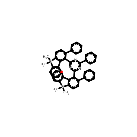 C[Si]1(C)c2ccccc2-c2c1ccc(-c1ccccc1)c2-c1nc(-c2ccccc2)nc(-c2c(-c3ccccc3)ccc3c2-c2ccccc2[Si]3(C)C)n1